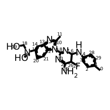 Cc1ccc(NC2N=C(n3c(C)nc4cc(N(O)CO)ccc43)N=C(N)C2F)cc1